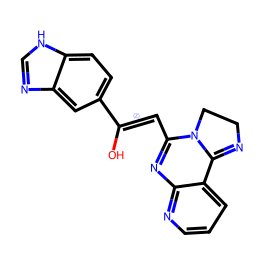 O/C(=C\C1=Nc2ncccc2C2=NCCN12)c1ccc2[nH]cnc2c1